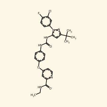 CCNC(=O)c1cc(Oc2ccc(NC(=O)Nc3cc(C(C)(C)C)nn3-c3ccc(F)c(Cl)c3)cc2)ccn1